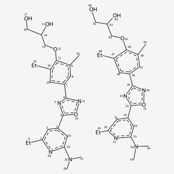 CCc1cc(-c2nc(-c3cc(C)c(OCC(O)CO)c(CC)c3)no2)cc(N(C)C)n1.CCc1cc(-c2nc(-c3cc(C)c(OCC(O)CO)c(CC)c3)no2)cc(N(C)C)n1